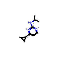 CC(C)Nc1nccc(C2CC2)n1